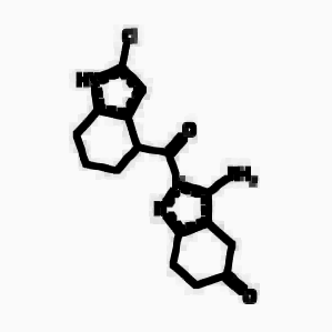 Nc1c2c(nn1C(=O)C1CCCc3[nH]c(Cl)cc31)CCC(=O)C2